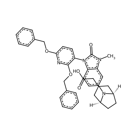 Cn1c(=O)n(-c2ccc(OCc3ccccc3)nc2OCc2ccccc2)c2ccc(N3[C@@H]4CC[C@H]3CC(CC(=O)O)C4)cc21